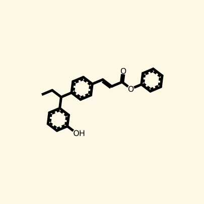 CCC(c1ccc(C=CC(=O)Oc2ccccc2)cc1)c1cccc(O)c1